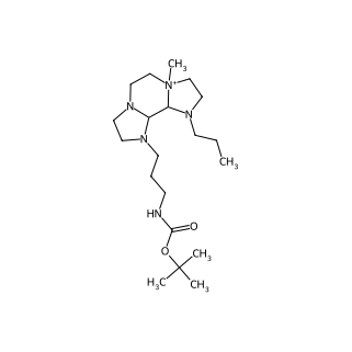 CCCN1CC[N+]2(C)CCN3CCN(CCCNC(=O)OC(C)(C)C)C3C12